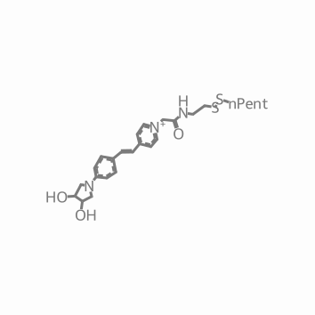 CCCCCSSCCNC(=O)C[n+]1ccc(/C=C/c2ccc(N3CC(O)C(O)C3)cc2)cc1